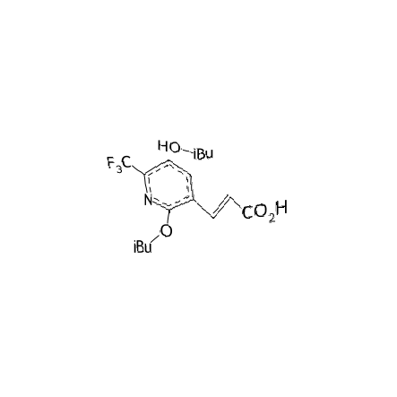 CCC(C)O.CCC(C)Oc1nc(C(F)(F)F)ccc1/C=C/C(=O)O